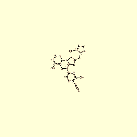 Cc1ccsc1CN1CC[C@H](N(Cc2ccccc2Cl)c2ccc(C#N)c(Cl)c2)C1